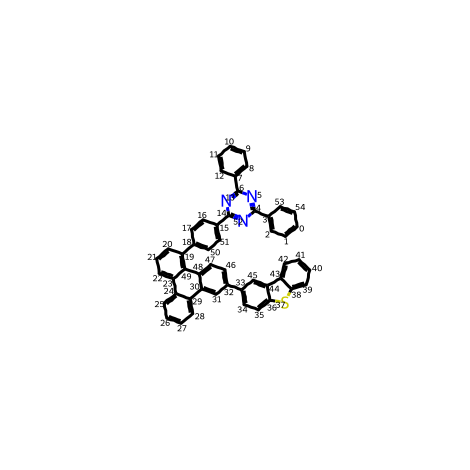 c1ccc(-c2nc(-c3ccccc3)nc(-c3ccc(-c4cccc5c6ccccc6c6cc(-c7ccc8sc9ccccc9c8c7)ccc6c45)cc3)n2)cc1